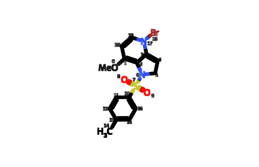 COC1=C2C(=CCN2S(=O)(=O)c2ccc(C)cc2)N(Br)C=C1